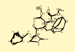 CC(C)(C)OC(=O)NN(C(=O)OC(C)(C)C)[C@@H](CC1C2CC3CC(C2)CC1C3)C(=O)N1C(=O)OC[C@@H]1Cc1ccccc1